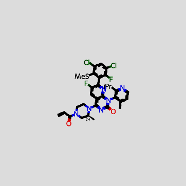 C=CC(=O)N1CCN(c2nc(=O)n(-c3c(C)ccnc3C(C)C)c3nc(-c4c(F)c(Cl)cc(Cl)c4SC)c(F)cc23)[C@@H](C)C1